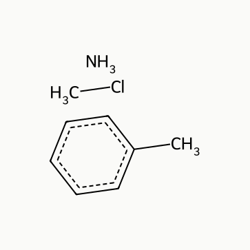 CCl.Cc1ccccc1.N